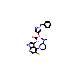 CN(C)C1CCCN(c2c(Br)cnc3[nH]cc(NC(=O)Oc4cnn(Cc5ccccc5)c4)c23)C1